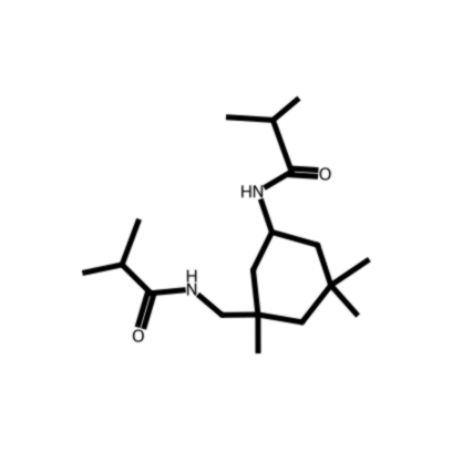 CC(C)C(=O)NCC1(C)CC(NC(=O)C(C)C)CC(C)(C)C1